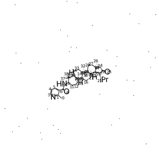 Cc1ncccc1C(=O)NC1CC[C@]2(C)[C@H]3CC[C@@H]4C5=C(C(C)C)C(=O)C[C@]5(C)CC[C@@]4(C)[C@]3(C)CC[C@H]2C1(C)C